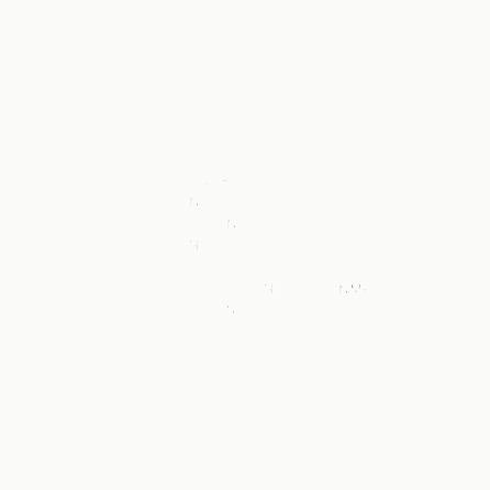 CCCC(C)Nc1ncc2c(N3CCC(NC)CC3)ncc(C3CCCCC3)c2n1